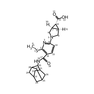 CSc1nc(N2C[C@@H]3[C@H](C2)[C@H]3C(=O)O)ccc1C(=O)NC1C2CC3CC(C2)CC1C3